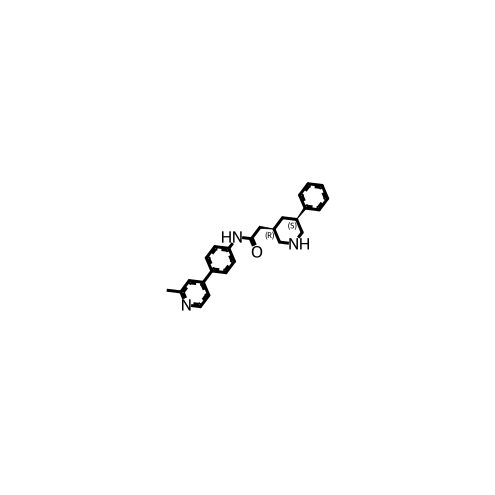 Cc1cc(-c2ccc(NC(=O)C[C@@H]3CNC[C@H](c4ccccc4)C3)cc2)ccn1